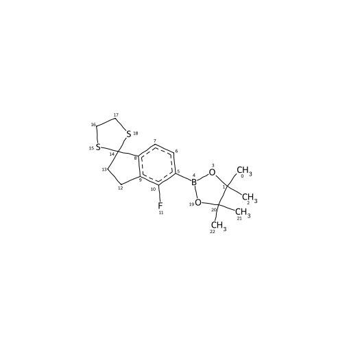 CC1(C)OB(c2ccc3c(c2F)CCC32SCCS2)OC1(C)C